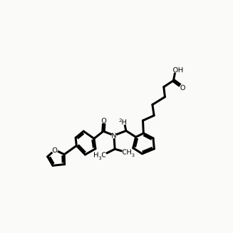 [2H]C(c1ccccc1CCCCCC(=O)O)N(C(=O)c1ccc(-c2ccco2)cc1)C(C)C